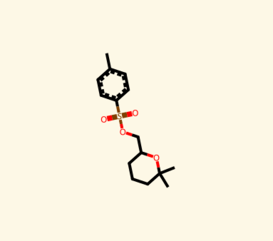 Cc1ccc(S(=O)(=O)OCC2CCCC(C)(C)O2)cc1